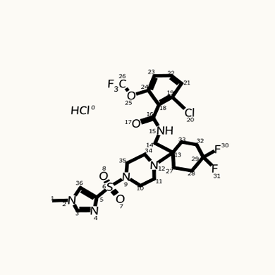 Cl.Cn1cnc(S(=O)(=O)N2CCN(C3(CNC(=O)c4c(Cl)cccc4OC(F)(F)F)CCC(F)(F)CC3)CC2)c1